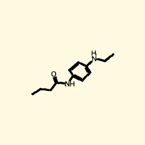 CCCC(=O)Nc1ccc(NCC)cc1